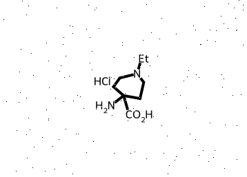 CCN1CCC(N)(C(=O)O)CC1.Cl